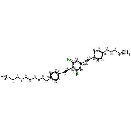 CCCCCCCCCCc1ccc(C#Cc2c(F)cc(C#Cc3ccc(CCCCC)cc3)cc2F)cc1